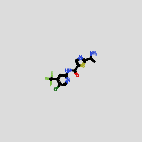 CC(N)c1ncc(C(=O)Nc2cc(C(F)(F)F)c(Cl)cn2)s1